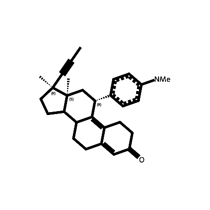 CC#C[C@]1(C)CCC2C3CCC4=CC(=O)CCC4=C3[C@@H](c3ccc(NC)cc3)C[C@@]21C